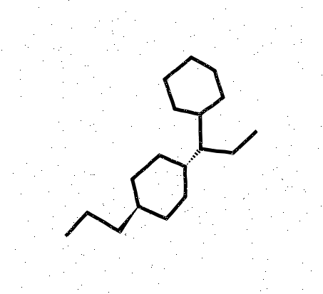 CCC[C@H]1CC[C@H](C(CC)C2CCCCC2)CC1